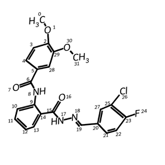 COc1ccc(C(=O)Nc2ccccc2C(=O)N/N=C/c2ccc(F)c(Cl)c2)cc1OC